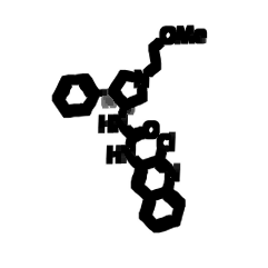 COCCN1C[C@@H](NC(=O)Nc2cc3ccccc3nc2Cl)[C@H](c2ccccc2)C1